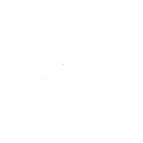 CC1(C)c2ccccc2-c2ccc(-c3ccc(-n4c5ccc(N(c6ccccc6)c6ccccc6)cc5c5cc6c(cc54)sc4ccccc46)cc3)cc21